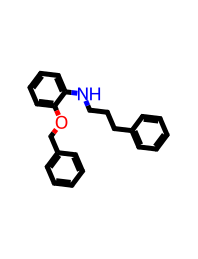 c1ccc(CCCNc2ccccc2OCc2ccccc2)cc1